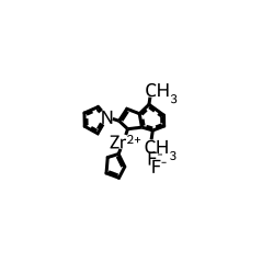 Cc1ccc(C)c2c1C=C(n1cccc1)[CH]2[Zr+2][C]1=CC=CC1.[F-].[F-]